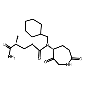 C[C@@H](C[CH]C(=O)N(CC1CCCCC1)[C@H]1CCC(=O)NCC1=O)C(N)=O